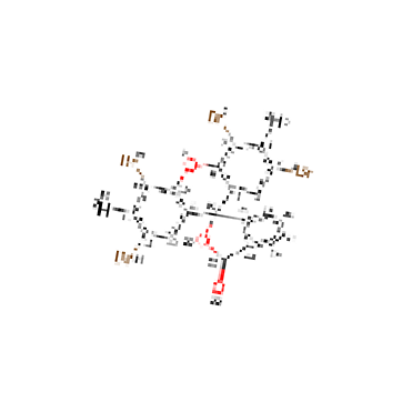 [2H]c1c(Br)cc2c(c1Br)Oc1c(cc(Br)c([2H])c1Br)C21OC(=O)c2ccccc21